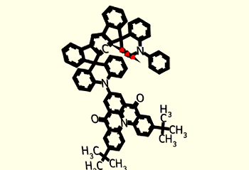 CC(C)(C)c1ccc2c(c1)c(=O)c1cc(N3c4ccccc4C4(c5ccccc5-c5cc6c(cc54)C4(c5ccccc5-6)c5ccccc5N(c5ccccc5)c5ccccc54)c4ccccc43)cc3c(=O)c4cc(C(C)(C)C)ccc4n2c13